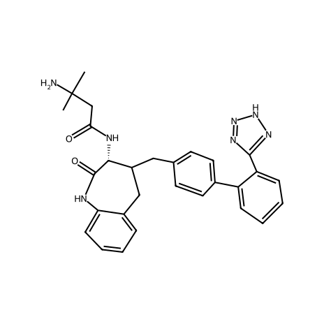 CC(C)(N)CC(=O)N[C@H]1C(=O)Nc2ccccc2CC1Cc1ccc(-c2ccccc2-c2nn[nH]n2)cc1